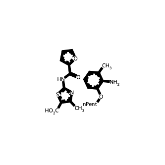 CCCCCOc1cccc(C)c1N.Cc1nc(NC(=O)c2ccco2)sc1C(=O)O